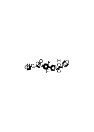 O=C([C@H](O)CN1CCOCC1)N1CC=C(c2c(F)cc(N3C[C@H](COc4ccon4)OC3=O)cc2F)CC1